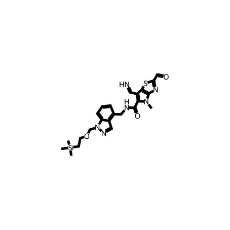 Cn1c(C(=O)NCc2cccc3c2cnn3COCC[Si](C)(C)C)c(C=N)c2sc(C=O)nc21